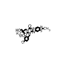 Cc1nc2ccc(/N=c3\[nH]c(=O)n(CC(C)(CO)CO)c(=O)n3Cc3ccc(Cl)cc3)cc2s1